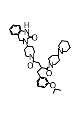 CC(C)Oc1cccc(CC(CC(=O)N2CCC(N3Cc4ccccc4NC3=O)CC2)C(=O)N2CCC(N3CCCCC3)CC2)c1